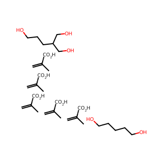 C=C(C)C(=O)O.C=C(C)C(=O)O.C=C(C)C(=O)O.C=C(C)C(=O)O.C=C(C)C(=O)O.OCCCC(CO)CO.OCCCCCO